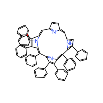 C1=Cc2cc3c(-c4ccccc4)c(-c4ccccc4)c(c(-c4ccccc4)c4nc(c(-c5ccccc5)c5[nH]c(cc1n2)cc5-c1ccccc1)C(c1ccccc1)=C4c1ccccc1)n3-c1ccccc1